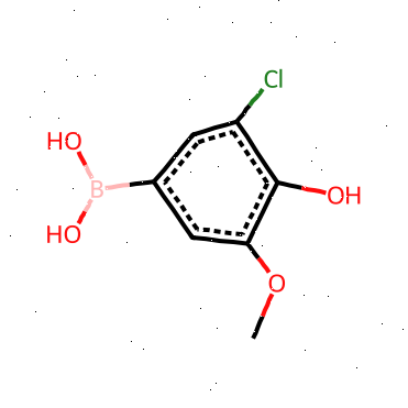 COc1cc(B(O)O)cc(Cl)c1O